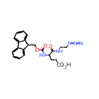 [N-]=[N+]=NCCNC(=O)C(CCC(=O)O)NC(=O)OCC1c2ccccc2-c2ccccc21